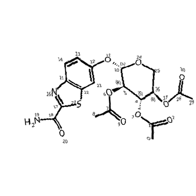 CC(=O)O[C@@H]1[C@@H](OC(C)=O)[C@H](Oc2ccc3nc(C(N)=O)sc3c2)OC[C@H]1OC(C)=O